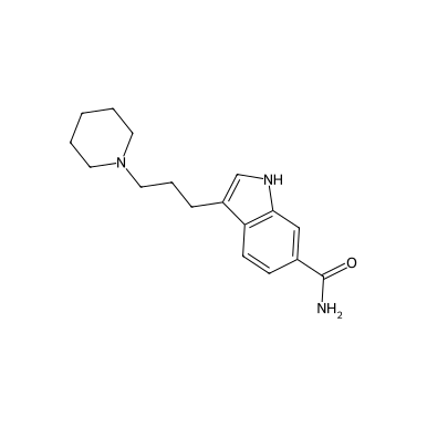 NC(=O)c1ccc2c(CCCN3CCCCC3)c[nH]c2c1